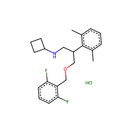 Cc1cccc(C)c1C(CNC1CCC1)COCc1c(F)cccc1F.Cl